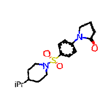 CC(C)C1CCN(S(=O)(=O)c2ccc(N3CCCC3=O)cc2)CC1